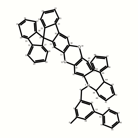 Cc1cc(CN(c2ccc3c(c2)Oc2cc4c(cc2O3)-c2ccccc2C42c3ccccc3-c3ccccc32)C2C=CC=CC2c2ccccc2)cc(-c2ccccc2)c1